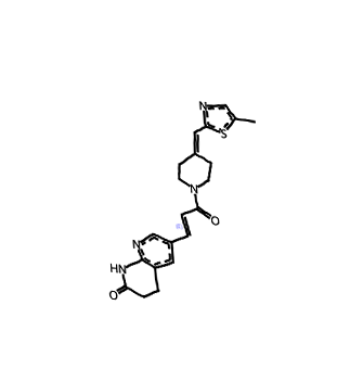 Cc1cnc(C=C2CCN(C(=O)/C=C/c3cnc4c(c3)CCC(=O)N4)CC2)s1